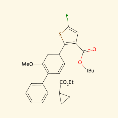 CCOC(=O)C1(c2ccccc2-c2ccc(-c3sc(F)cc3C(=O)OC(C)(C)C)cc2OC)CC1